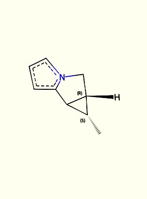 C[C@@H]1C2c3cccn3C[C@@H]21